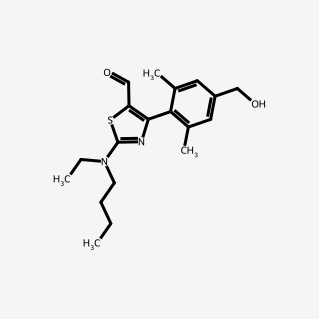 CCCCN(CC)c1nc(-c2c(C)cc(CO)cc2C)c(C=O)s1